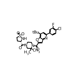 CC(C)(C)c1cc(-c2ccc(Cl)c(F)c2)nc2cc(C(=O)N3CCN(C(=O)[C@@H]4CCS(=O)(=O)N4)CC3(C)C)oc12